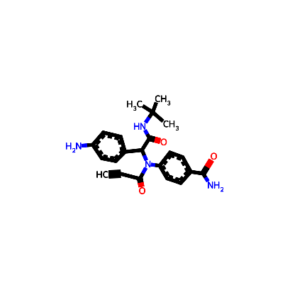 C#CC(=O)N(c1ccc(C(N)=O)cc1)C(C(=O)NC(C)(C)C)c1ccc(N)cc1